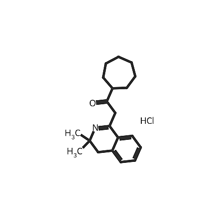 CC1(C)Cc2ccccc2C(CC(=O)C2CCCCCC2)=N1.Cl